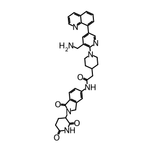 NCc1cc(-c2cccc3cccnc23)cnc1N1CCC(CC(=O)Nc2ccc3c(c2)CN(C2CCC(=O)NC2=O)C3=O)CC1